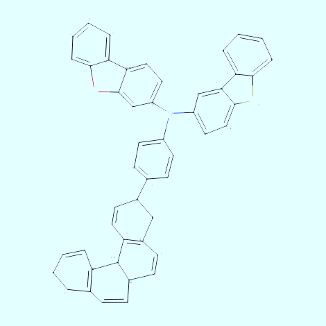 C1=CC2=C(C=CC3C=CC4=C(C=CC(c5ccc(N(c6ccc7c(c6)oc6ccccc67)c6ccc7sc8ccccc8c7c6)cc5)C4)C23)CC1